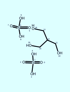 O=S(=O)(O)O.O=S(=O)(O)O.OCC(CO)CO